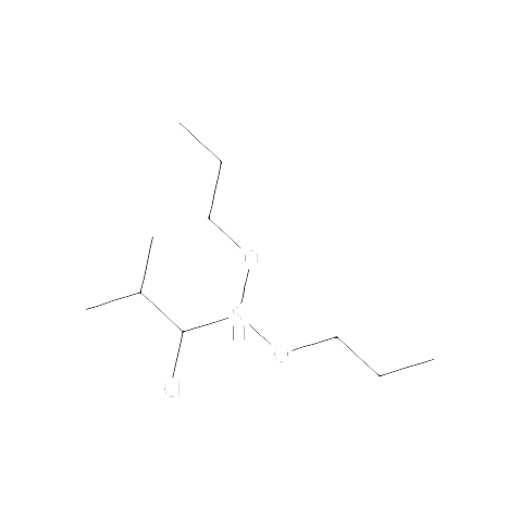 CCCO[SiH](OCCC)C(Cl)C(C)C